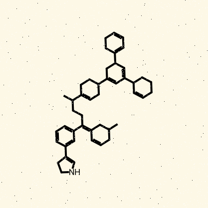 CC1CC=C/C(=C(/CCC(C)C2=CCC(C3=CC(C4C=CCCC4)=CC(C4=CC=CCC4)C3)CC2)c2cccc(C3=CNCC3)c2)C1